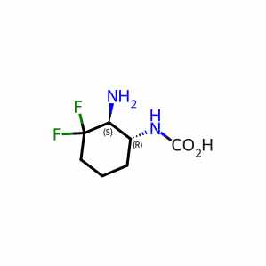 N[C@H]1[C@H](NC(=O)O)CCCC1(F)F